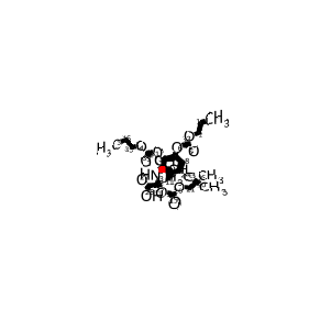 CCCOC(=O)Oc1ccc(C[C@](NC(C)C)(OC(=O)OCC(C)(C)C)C(=O)O)cc1OC(=O)OCCC